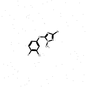 Cn1nc(Br)nc1Oc1ccc(F)c(Cl)c1